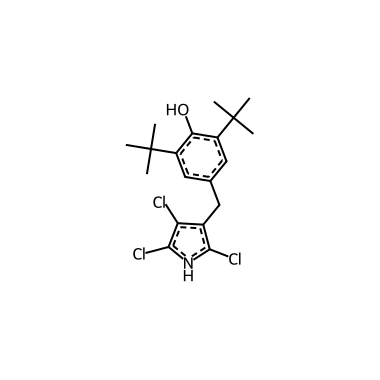 CC(C)(C)c1cc(Cc2c(Cl)[nH]c(Cl)c2Cl)cc(C(C)(C)C)c1O